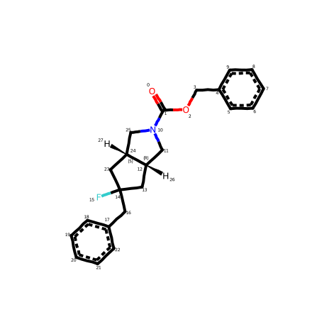 O=C(OCc1ccccc1)N1C[C@@H]2CC(F)(Cc3ccccc3)C[C@@H]2C1